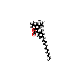 CCCCCCCCCCCCc1ccc(C2C(=O)Oc3c2cc(C(C)(C)C)cc3C(C)(C)C)c(C)c1